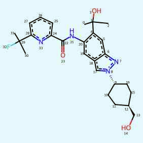 CC(C)(O)c1cc2nn([C@H]3CC[C@H](CO)CC3)cc2cc1NC(=O)c1cccc(C(C)(C)F)n1